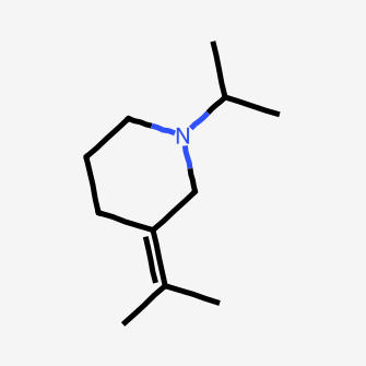 CC(C)=C1CCCN(C(C)C)C1